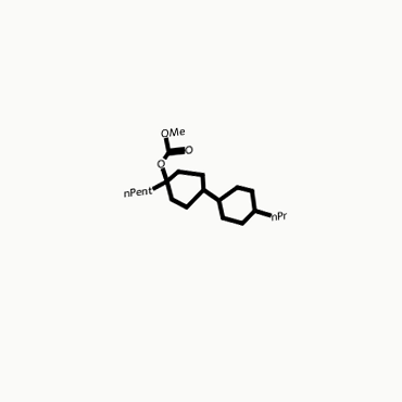 CCCCCC1(OC(=O)OC)CCC(C2CCC(CCC)CC2)CC1